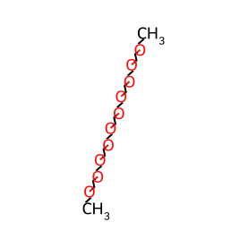 CCCOCCOCCOCCOCCOCCOCCOCCOCCOCCOCCC